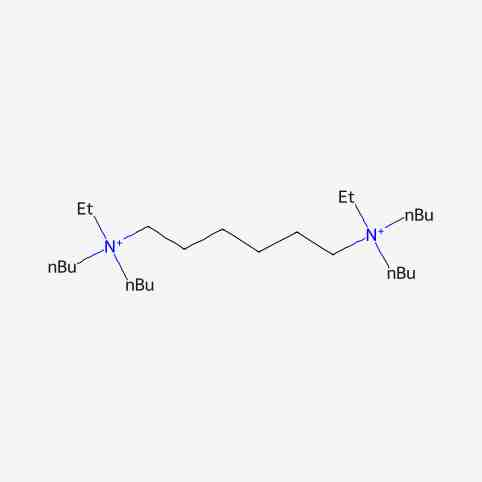 CCCC[N+](CC)(CCCC)CCCCCC[N+](CC)(CCCC)CCCC